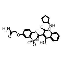 NC(=O)COc1ccc2c(c1)S(=O)(=O)N=C(c1c(O)c3ccccc3n(NC3CCCC3)c1=O)N2